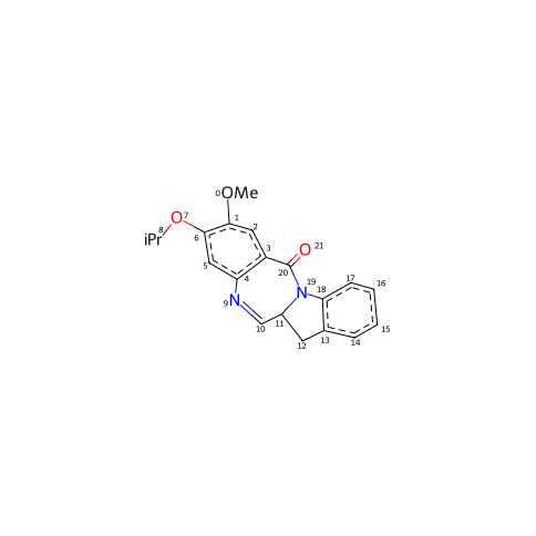 COc1cc2c(cc1OC(C)C)N=CC1Cc3ccccc3N1C2=O